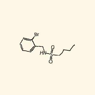 CCCCS(=O)(=O)NCc1ccccc1Br